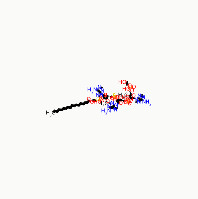 CCCCCCCCCCCCCCCCCC(=O)OCCSP(=O)(O)O[C@H]1C(OC)[C@@H](COP(O)(=S)O[C@H]2C(O)[C@@H](COP(=O)(O)O[C@H]3C(OC)[C@@H](COP(=O)(O)OCCO)O[C@H]3n3cnc4c(N)ncnc43)O[C@H]2n2cnc3c(N)ncnc32)O[C@H]1n1cnc2c(N)ncnc21